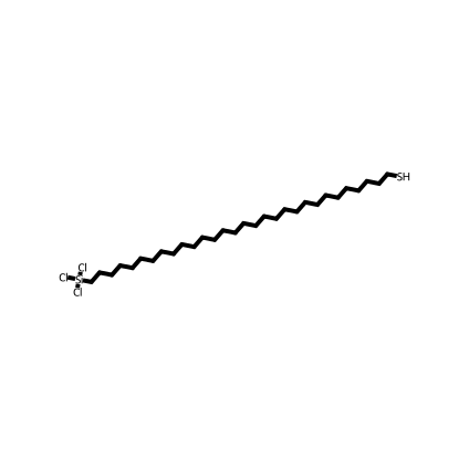 SCCCCCCCCCCCCCCCCCCCCCCCCCCCCCC[Si](Cl)(Cl)Cl